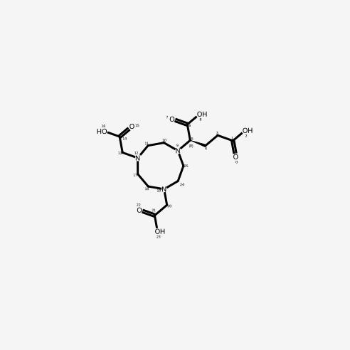 O=C(O)CC[C@H](C(=O)O)N1CCN(CC(=O)O)CCN(CC(=O)O)CC1